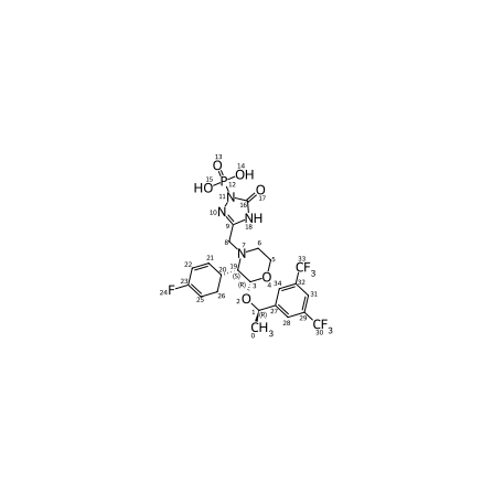 C[C@@H](O[C@H]1OCCN(Cc2nn(P(=O)(O)O)c(=O)[nH]2)[C@H]1C1C=CC(F)=CC1)c1cc(C(F)(F)F)cc(C(F)(F)F)c1